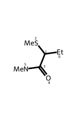 CCC(SC)C(=O)NC